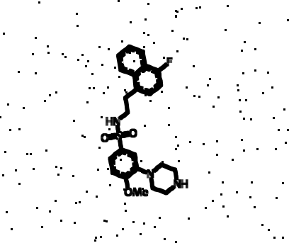 COc1ccc(S(=O)(=O)NCCc2ccc(F)c3ccccc23)cc1N1CCNCC1